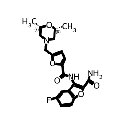 C[C@@H]1CN(Cc2ccc(C(=O)Nc3c(C(N)=O)oc4ccc(F)cc34)o2)C[C@H](C)O1